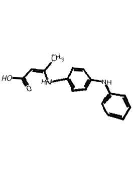 C/C(=C/C(=O)O)Nc1ccc(Nc2ccccc2)cc1